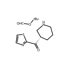 CC(C)(C)OC=O.O=C(c1nccs1)[C@H]1CCCNC1